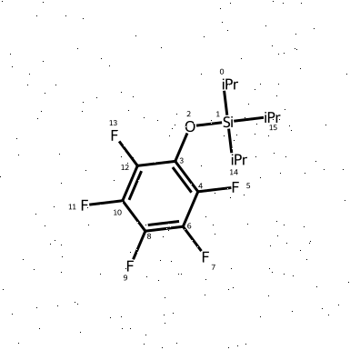 CC(C)[Si](Oc1c(F)c(F)c(F)c(F)c1F)(C(C)C)C(C)C